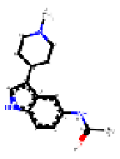 CN1CCC(c2c[nH]c3ccc(NC(=O)C(C)(C)C)cc23)CC1